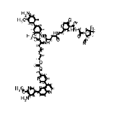 COc1ncc(-c2ccc3nccc(-c4ccc(COC(=O)OCCSSCC(NC(=O)CCC(=O)NCc5cc(C(=O)NCC(=O)N6CC(F)(F)C[C@H]6C#N)c(Cl)cn5)C(=O)Nc5ccc(-c6ccc(N)c(C)c6)cc5C)nc4)c3c2)cc1N